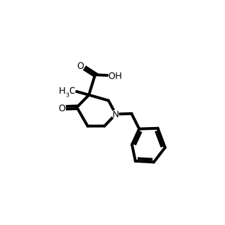 CC1(C(=O)O)CN(Cc2ccccc2)CCC1=O